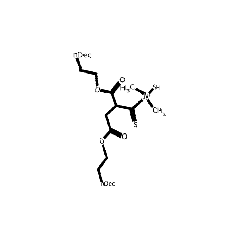 CCCCCCCCCCCCOC(=O)CC(C(=O)OCCCCCCCCCCCC)C(=S)[N+](C)(C)S